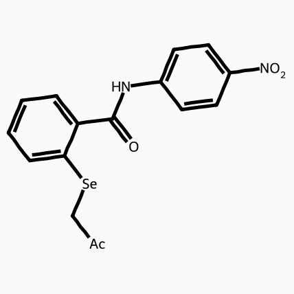 CC(=O)C[Se]c1ccccc1C(=O)Nc1ccc([N+](=O)[O-])cc1